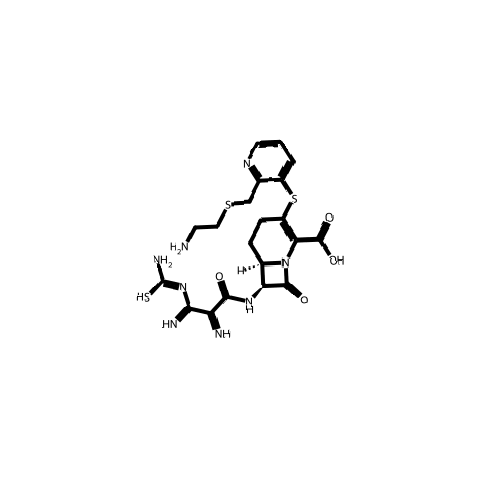 N=C(/N=C(/N)S)C(=N)C(=O)N[C@@H]1C(=O)N2C(C(=O)O)=C(Sc3cccnc3CSCCN)CC[C@H]12